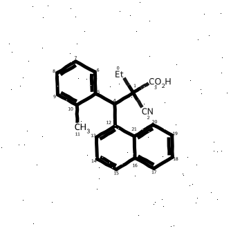 CCC(C#N)(C(=O)O)C(c1ccccc1C)c1cccc2ccccc12